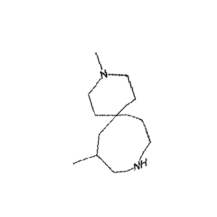 CC1CNCCC2(CCN(C)CC2)C1